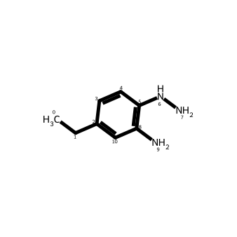 CCc1ccc(NN)c(N)c1